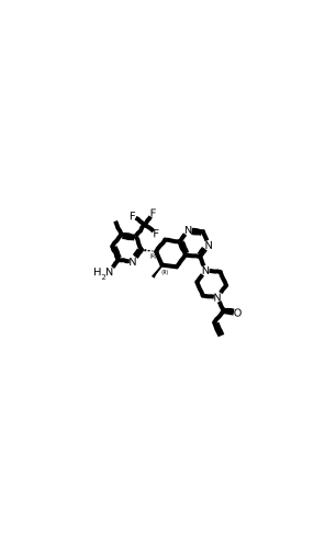 C=CC(=O)N1CCN(c2ncnc3c2C[C@@H](C)[C@H](c2nc(N)cc(C)c2C(F)(F)F)C3)CC1